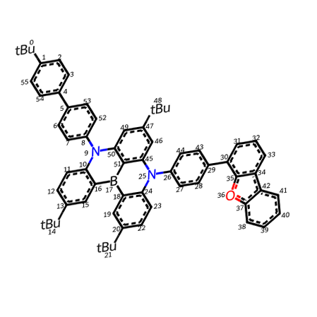 CC(C)(C)c1ccc(-c2ccc(N3c4ccc(C(C)(C)C)cc4B4c5cc(C(C)(C)C)ccc5N(c5ccc(-c6cccc7c6oc6ccccc67)cc5)c5cc(C(C)(C)C)cc3c54)cc2)cc1